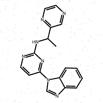 CC(Nc1nccc(-n2cnc3ccccc32)n1)c1cnccn1